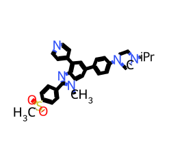 CC(C)N1CCN(c2ccc(-c3cc(-c4ccncc4)c4nc(-c5ccc(S(C)(=O)=O)cc5)n(C)c4c3)cc2)CC1